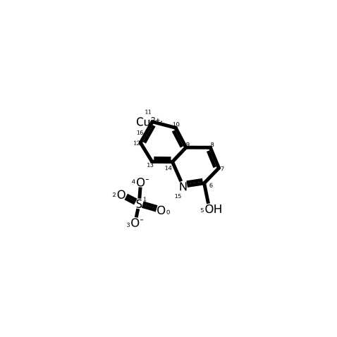 O=S(=O)([O-])[O-].Oc1ccc2ccccc2n1.[Cu+2]